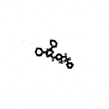 O=S(=O)(Nc1ccc(Nc2nc(N3CCCCC3)nc(N3CCCCC3)n2)cc1O)c1ccccc1